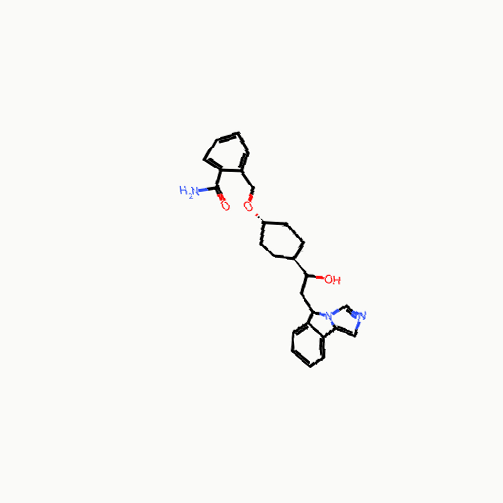 NC(=O)c1ccccc1CO[C@H]1CC[C@H](C(O)CC2c3ccccc3-c3cncn32)CC1